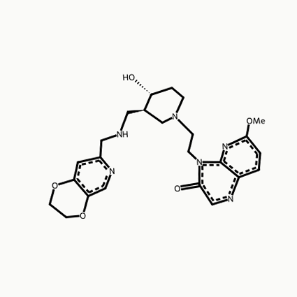 COc1ccc2ncc(=O)n(CCN3CC[C@@H](O)[C@H](CNCc4cc5c(cn4)OCCO5)C3)c2n1